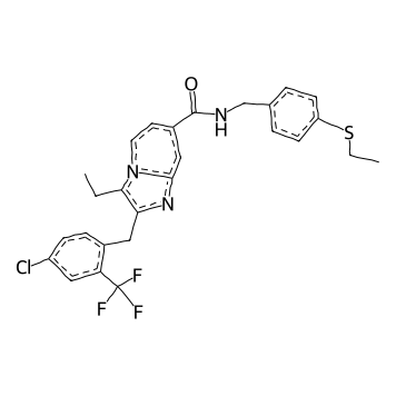 CCSc1ccc(CNC(=O)c2ccn3c(CC)c(Cc4ccc(Cl)cc4C(F)(F)F)nc3c2)cc1